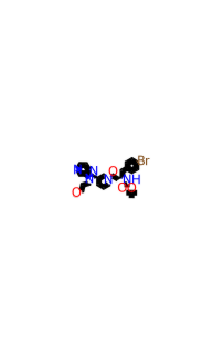 COCCCn1c([C@@H]2CCCN(C(=O)C[C@@H](Cc3ccc(Br)cc3)NC(=O)OC(C)(C)C)C2)nc2ccncc21